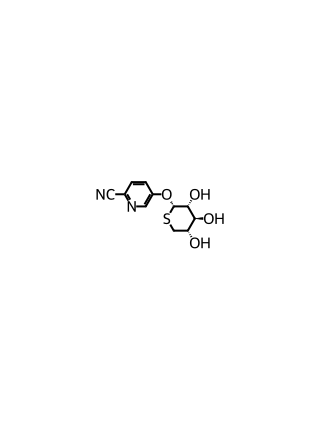 N#Cc1ccc(O[C@H]2SC[C@@H](O)[C@H](O)[C@H]2O)cn1